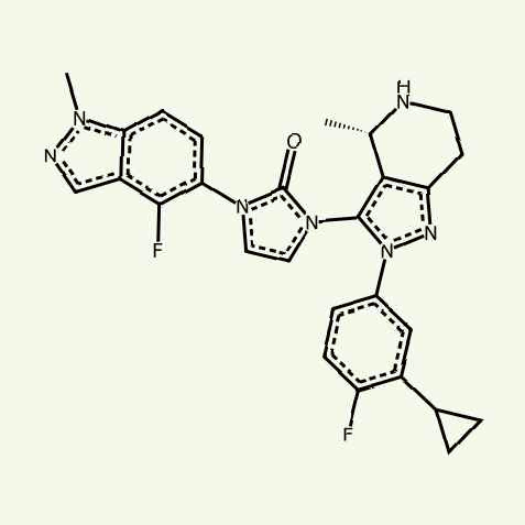 C[C@@H]1NCCc2nn(-c3ccc(F)c(C4CC4)c3)c(-n3ccn(-c4ccc5c(cnn5C)c4F)c3=O)c21